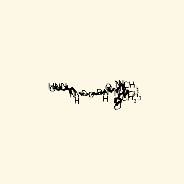 Cc1sc2c(c1C)C(c1ccc(Cl)cc1)=N[C@@H](CCC(=O)NCCOCCOCCOCCNc1ccc(-c3cnc4c(c3)CC(=O)N4)cn1)c1nnc(C)n1-2